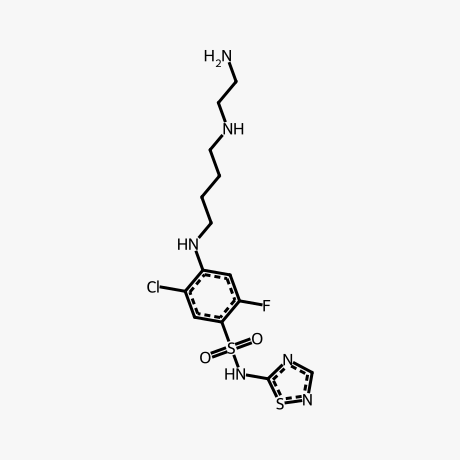 NCCNCCCCNc1cc(F)c(S(=O)(=O)Nc2ncns2)cc1Cl